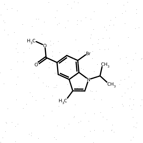 COC(=O)c1cc(Br)c2c(c1)c(C)cn2C(C)C